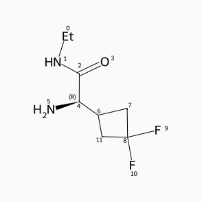 CCNC(=O)[C@H](N)C1CC(F)(F)C1